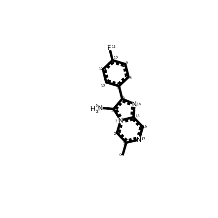 Cc1cn2c(N)c(-c3ccc(F)cc3)nc2cn1